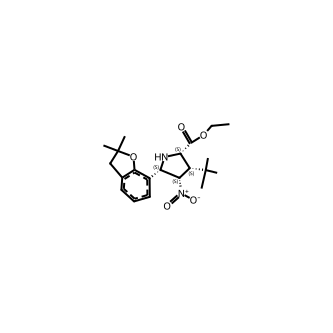 CCOC(=O)[C@H]1N[C@@H](c2cccc3c2OC(C)(C)C3)[C@@H]([N+](=O)[O-])[C@H]1C(C)(C)C